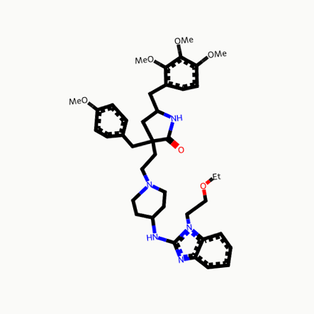 CCOCCn1c(NC2CCN(CCC3(Cc4ccc(OC)cc4)CC(Cc4ccc(OC)c(OC)c4OC)NC3=O)CC2)nc2ccccc21